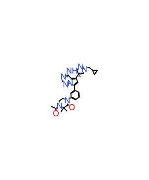 CC(=O)N1CCN(c2cccc(-c3cc(-c4cnn(CC5CC5)c4)c4c(N)ncnn34)c2)C(=O)C1(C)C